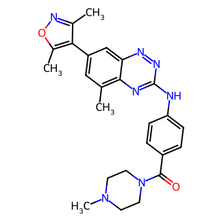 Cc1noc(C)c1-c1cc(C)c2nc(Nc3ccc(C(=O)N4CCN(C)CC4)cc3)nnc2c1